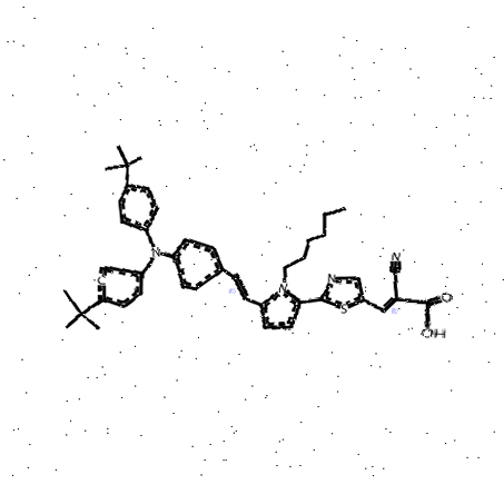 CCCCCCn1c(/C=C/c2ccc(N(c3ccc(C(C)(C)C)cc3)c3ccc(C(C)(C)C)cc3)cc2)ccc1-c1ncc(/C=C(\C#N)C(=O)O)s1